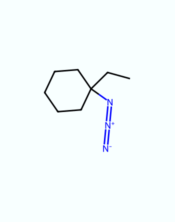 CCC1(N=[N+]=[N-])CCCCC1